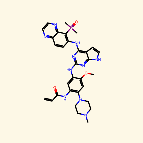 C=CC(=O)Nc1cc(Nc2nc(Nc3ccc4nccnc4c3P(C)(C)=O)c3cc[nH]c3n2)c(OC)cc1N1CCN(C)CC1